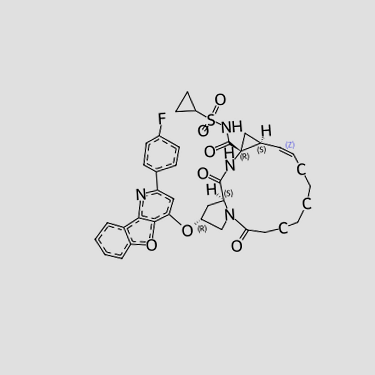 O=C1N[C@]2(C(=O)NS(=O)(=O)C3CC3)C[C@H]2/C=C\CCCCCCC(=O)N2C[C@H](Oc3cc(-c4ccc(F)cc4)nc4c3oc3ccccc34)C[C@@H]12